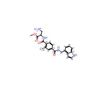 COC(=O)C(CN)NC(=O)c1ccc(C(=O)NCc2cccc3[nH]ccc23)cc1Cl